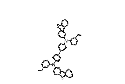 C=Cc1cccc(N(c2ccc(-c3ccc(N(c4cccc(C=C)c4)c4ccc5sc6ccccc6c5c4)cc3)cc2)c2ccc3sc4ccccc4c3c2)c1